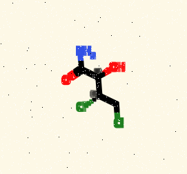 NC(=O)[C@@H](O)[C@@H](Cl)CCl